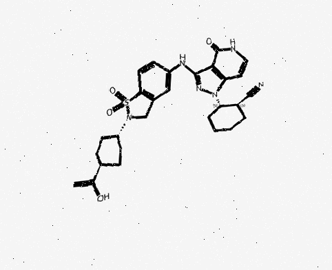 C=C(O)[C@H]1CC[C@H](N2Cc3cc(Nc4nn([C@H]5CCCC[C@@H]5C#N)c5cc[nH]c(=O)c45)ccc3S2(=O)=O)CC1